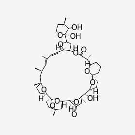 CC1=C\[C@H](C)C[C@@]2(C)CC[C@@H](O2)[C@@]23CC[C@@](C)(C[C@@H](O2)[C@H]2O[C@](C)(CC2=O)[C@@H](O)[C@@H]2CC[C@]4(CCC[C@H](O4)[C@@H](C)C(=O)O[C@@H]4CC([C@@]5(O)OCC[C@@H](C)[C@@H]5O)O[C@@H]4/C=C\1)O2)O3